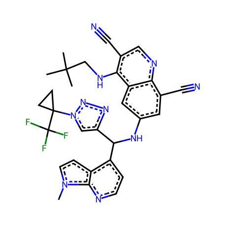 Cn1ccc2c(C(Nc3cc(C#N)c4ncc(C#N)c(NCC(C)(C)C)c4c3)c3cn(C4(C(F)(F)F)CC4)nn3)ccnc21